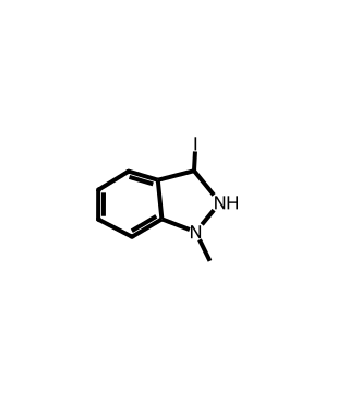 CN1NC(I)c2ccccc21